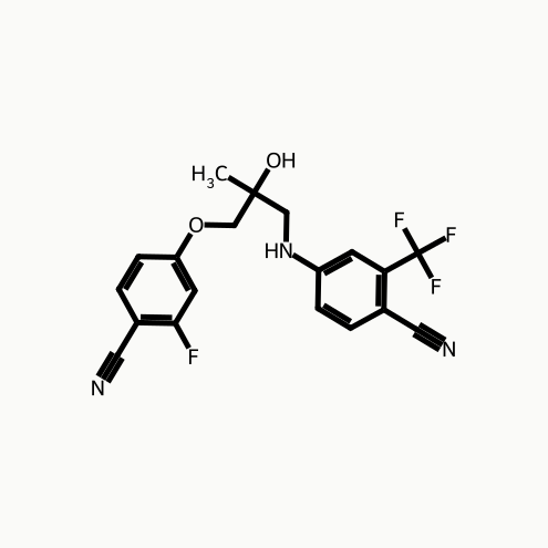 CC(O)(CNc1ccc(C#N)c(C(F)(F)F)c1)COc1ccc(C#N)c(F)c1